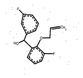 C=CCOc1c(F)cccc1C(O)c1cccc(F)c1